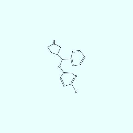 Clc1ccc(OC(c2ccccc2)C2CCNC2)cn1